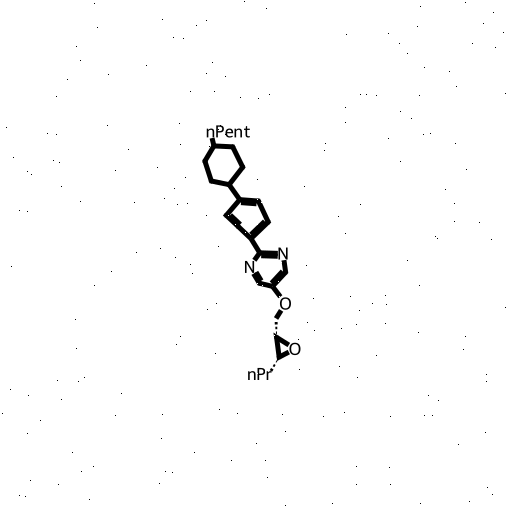 CCCCCC1CCC(c2ccc(-c3ncc(OC[C@@H]4O[C@@H]4CCC)cn3)cc2)CC1